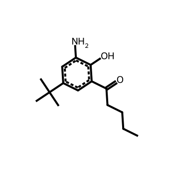 CCCCC(=O)c1cc(C(C)(C)C)cc(N)c1O